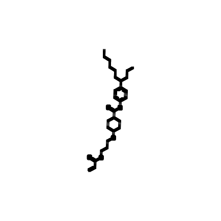 C=CC(=O)OCCCOC1CCC(C(=O)Oc2ccc(C(CCC)CCCCCC)cc2)CC1